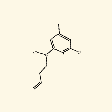 C=CCCN(CC)c1cc(C)cc(Cl)n1